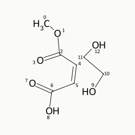 COC(=O)/C=C\C(=O)O.OCCO